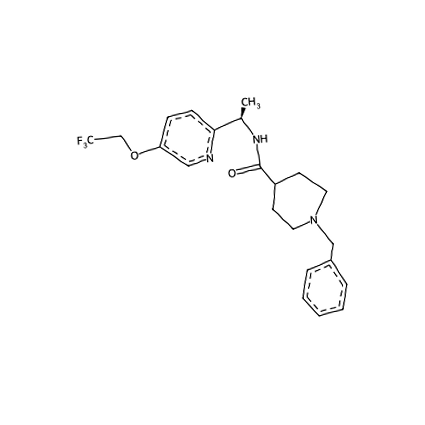 C[C@@H](NC(=O)C1CCN(Cc2ccccc2)CC1)c1ccc(OCC(F)(F)F)cn1